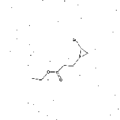 CCOC(=O)CCC1CC1Br